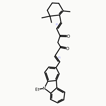 CCn1c2ccccc2c2cc(/C=C/C(=O)CC(=O)/C=C/C3=C(C)CCCC3(C)C)ccc21